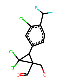 O=CC1(CO)C(c2ccc(C(F)F)c(Cl)c2)C1(Cl)Cl